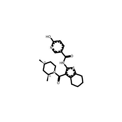 C[C@H]1CCN(C(=O)c2c(NC(=O)c3ccc(O)nc3)sc3c2CCCC3)[C@@H](C)C1